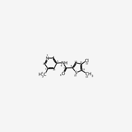 Cc1cncc(NC(=O)c2cc(Cl)c(C)s2)c1